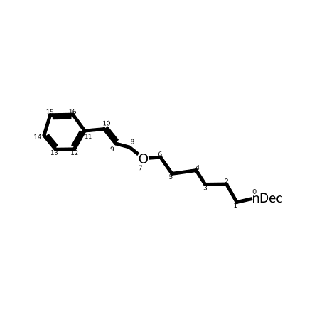 CCCCCCCCCCCCCCCCOCC=Cc1ccccc1